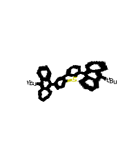 CC(C)(C)c1c2c(c(-c3ccc4sc5c(-c6c7ccccc7c(C(C)(C)C)c7ccccc67)cccc5c4c3)c3ccccc13)CC=CC=C2